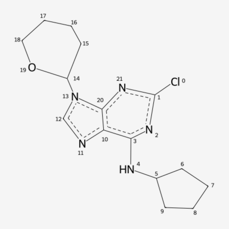 Clc1nc(NC2CCCC2)c2ncn(C3CCCCO3)c2n1